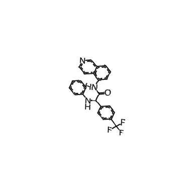 O=C(Nc1cccc2cnccc12)[C@H](Nc1ccccc1)c1ccc(C(F)(F)F)cc1